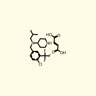 CC(C)CN(Cc1ccc(Cl)c(C(F)(F)F)c1)C1CCNCC1.O=C(O)C=CC(=O)O